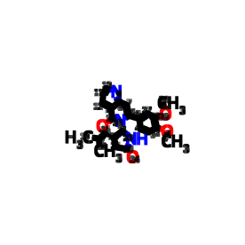 COc1ccc(-c2cc3ncccc3c(OC(C(C)C)[C@H]3CNC(=O)C3)n2)cc1OC